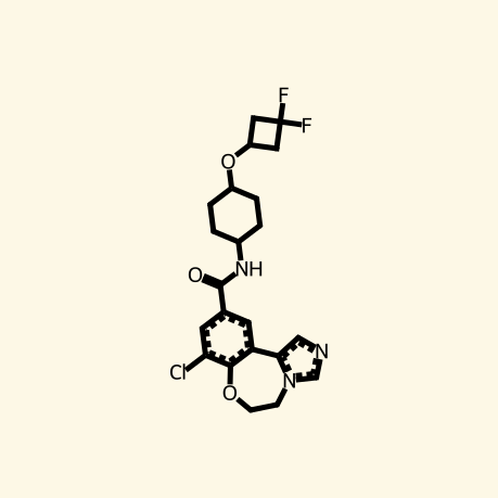 O=C(NC1CCC(OC2CC(F)(F)C2)CC1)c1cc(Cl)c2c(c1)-c1cncn1CCO2